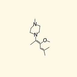 CO/C(C=C(C)C)=C(/C)N1CCN(C)CC1